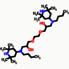 CCCCN(CC(O)COCCOCC(O)CN(CCCC)C1CC(C)(C)NC(C)(C)C1)C1CC(C)(C)NC(C)(C)C1